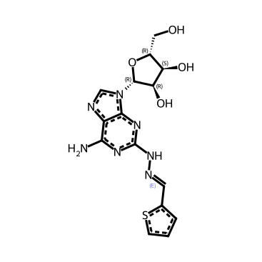 Nc1nc(N/N=C/c2cccs2)nc2c1ncn2[C@@H]1O[C@H](CO)[C@@H](O)[C@H]1O